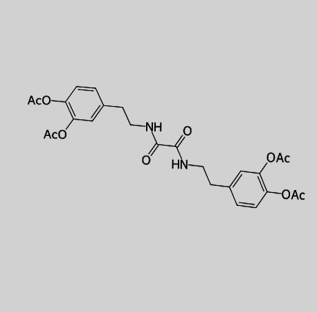 CC(=O)Oc1ccc(CCNC(=O)C(=O)NCCc2ccc(OC(C)=O)c(OC(C)=O)c2)cc1OC(C)=O